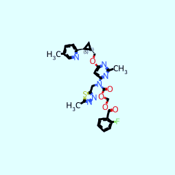 Cc1ccc([C@H]2C[C@@H]2COc2cc(N(Cc3nnc(C)s3)C(=O)OCOC(=O)c3ccccc3F)nc(C)n2)nc1